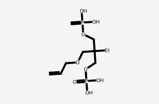 C=CCOCC(CC)(COP(=C)(O)O)COP(=O)(O)O